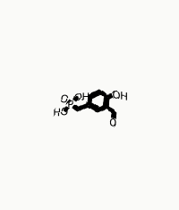 O=Cc1cc(CP(=O)(O)O)ccc1O